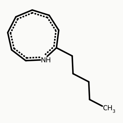 CCCCCc1ccccccc[nH]1